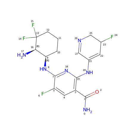 NC(=O)c1cc(F)c(N[C@@H]2CCCC(F)(F)[C@@H]2N)nc1NC1=CC(F)CN=C1